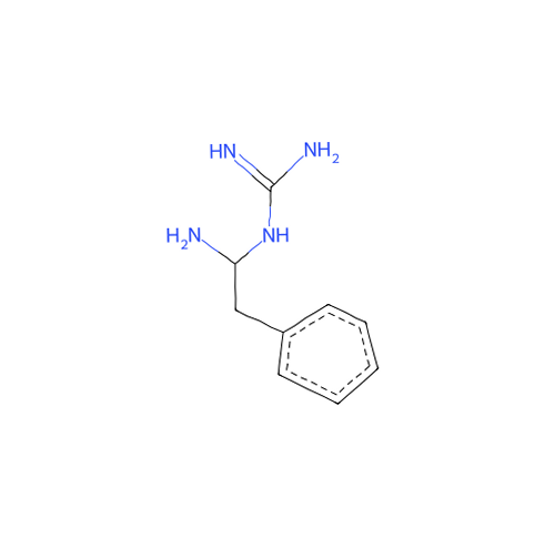 N=C(N)NC(N)Cc1ccccc1